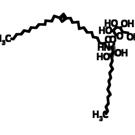 CCCCCCCCCCCCCC[C@@H](O)[C@@H](O)[C@H](COC1OC(CO)C(O)C(O)C1O)NC(=O)CCCCCCCCCCC12CC(CCCCCCCCCCCCC)(C1)C2